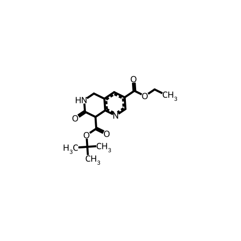 CCOC(=O)c1cnc2c(c1)CNC(=O)C2C(=O)OC(C)(C)C